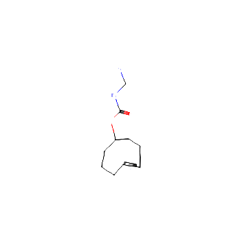 NCNC(=O)OC1CC/C=C/CCC1